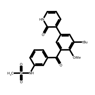 COc1c(C(=O)c2cccc(NS(C)(=O)=O)c2)cc(-c2ccc[nH]c2=O)cc1C(C)(C)C